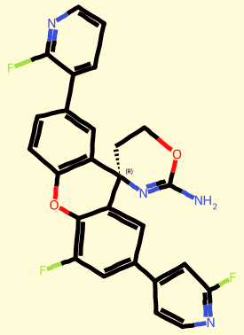 NC1=N[C@]2(CCO1)c1cc(-c3cccnc3F)ccc1Oc1c(F)cc(-c3ccnc(F)c3)cc12